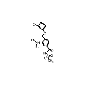 CCNCC.CS(=O)(=O)NC(=O)c1ccc(COc2cccc(Cl)c2)cc1